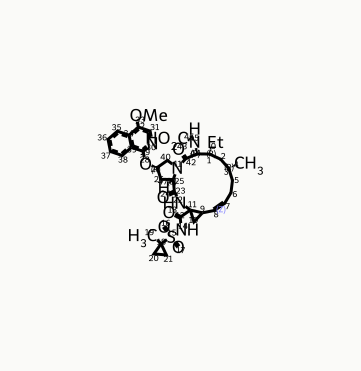 CC[C@@H]1C[C@H](C)CC/C=C\C2CC2(C(=O)NS(=O)(=O)C2(C)CC2)NC(=O)[C@@H]2C[C@@H](Oc3ncc(OC)c4ccccc34)CN2C(=O)[C@H]1NC(=O)O